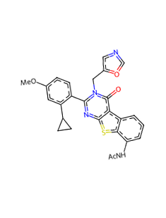 COc1ccc(-c2nc3sc4c(NC(C)=O)cccc4c3c(=O)n2Cc2cnco2)c(C2CC2)c1